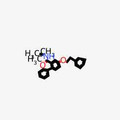 CC(C)(C)NC(=O)c1cc(OCCc2ccccc2)ccc1-c1ccccc1